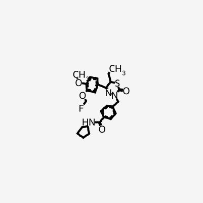 CCC1SC(=O)N(Cc2ccc(C(=O)NC3CCCC3)cc2)N=C1c1ccc(OC)c(OCF)c1